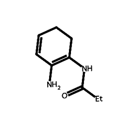 CCC(=O)NC1=C(N)C=CCC1